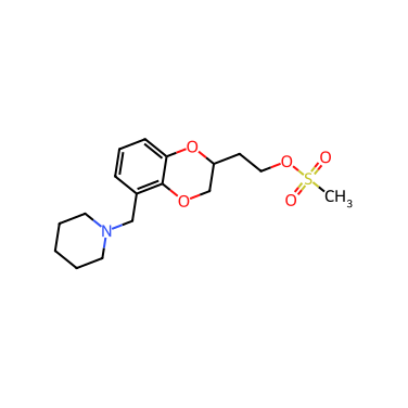 CS(=O)(=O)OCCC1COc2c(CN3CCCCC3)cccc2O1